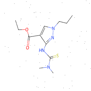 CCCn1cc(C(=O)OCC)c(NC(=S)N(C)C)n1